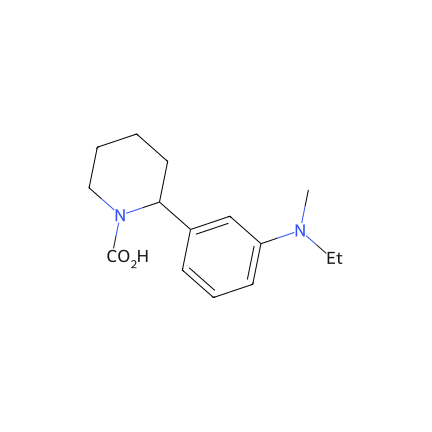 CCN(C)c1cccc(C2CCCCN2C(=O)O)c1